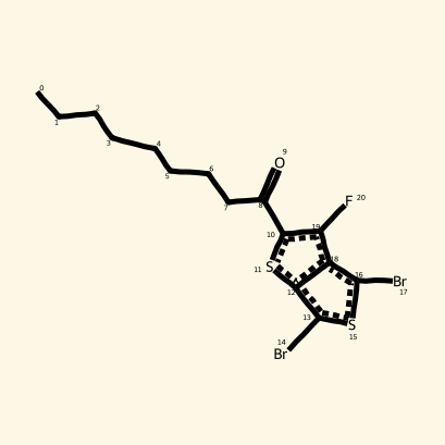 CCCCCCCCC(=O)c1sc2c(Br)sc(Br)c2c1F